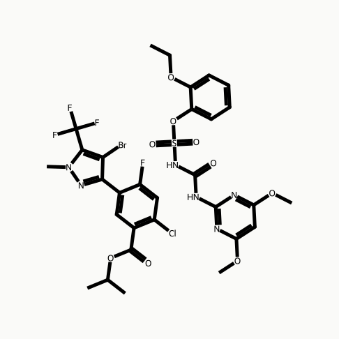 CC(C)OC(=O)c1cc(-c2nn(C)c(C(F)(F)F)c2Br)c(F)cc1Cl.CCOc1ccccc1OS(=O)(=O)NC(=O)Nc1nc(OC)cc(OC)n1